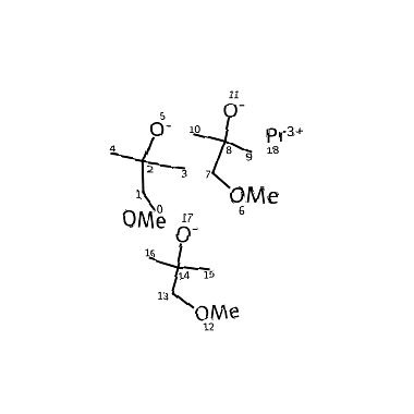 COCC(C)(C)[O-].COCC(C)(C)[O-].COCC(C)(C)[O-].[Pr+3]